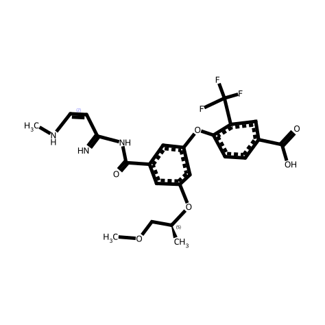 CN/C=C\C(=N)NC(=O)c1cc(Oc2ccc(C(=O)O)cc2C(F)(F)F)cc(O[C@@H](C)COC)c1